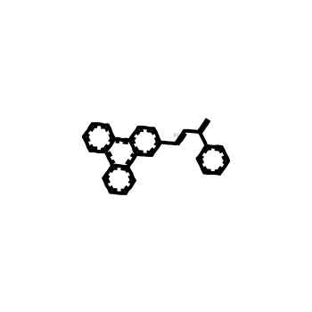 C=C(/C=C/c1ccc2c3ccccc3c3ccccc3c2c1)c1ccccc1